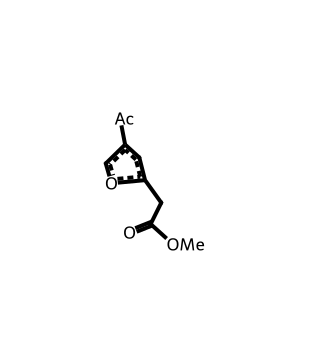 COC(=O)Cc1cc(C(C)=O)co1